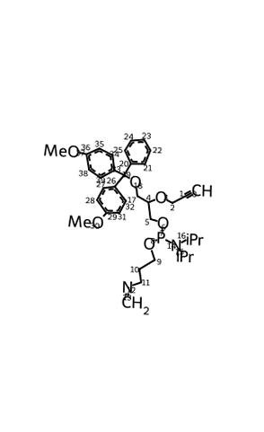 C#CCOC(COP(OCCCN=C)N(C(C)C)C(C)C)COC(c1ccccc1)(c1ccc(OC)cc1)c1ccc(OC)cc1